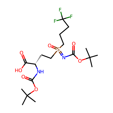 CC(C)(C)OC(=O)N=S(=O)(CCCC(F)(F)F)CC[C@H](NC(=O)OC(C)(C)C)C(=O)O